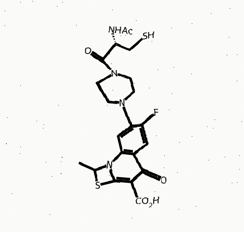 CC(=O)N[C@H](CS)C(=O)N1CCN(c2cc3c(cc2F)c(=O)c(C(=O)O)c2n3C(C)S2)CC1